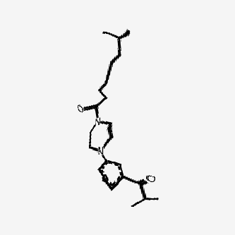 CC(C)CCCCCC(=O)N1CCN(c2cccc(C(=O)C(C)C)c2)CC1